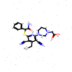 CCc1c(C#N)c(SC(C(N)=O)c2ccccc2)nc(N2CCCN(CC(=O)O)CC2)c1C#N